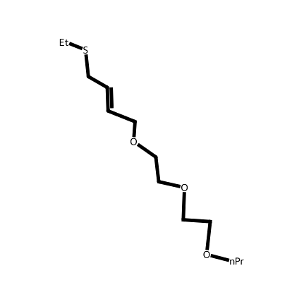 CCCOCCOCCOCC=CCSCC